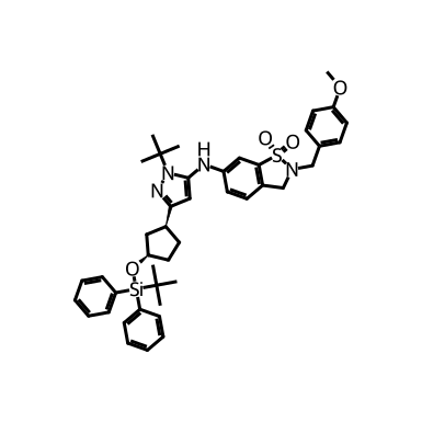 COc1ccc(CN2Cc3ccc(Nc4cc([C@H]5CC[C@@H](O[Si](c6ccccc6)(c6ccccc6)C(C)(C)C)C5)nn4C(C)(C)C)cc3S2(=O)=O)cc1